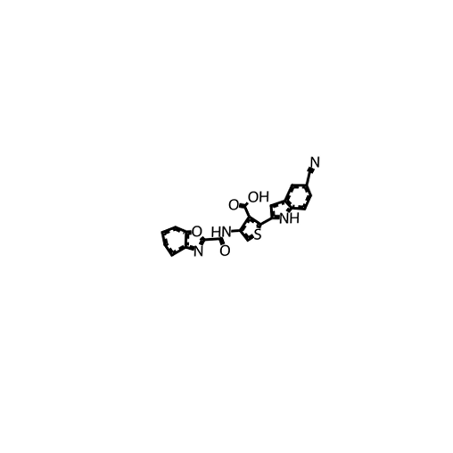 N#Cc1ccc2[nH]c(-c3scc(NC(=O)c4nc5ccccc5o4)c3C(=O)O)cc2c1